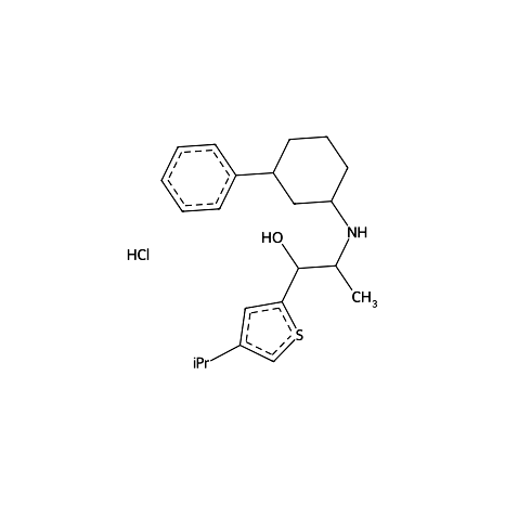 CC(C)c1csc(C(O)C(C)NC2CCCC(c3ccccc3)C2)c1.Cl